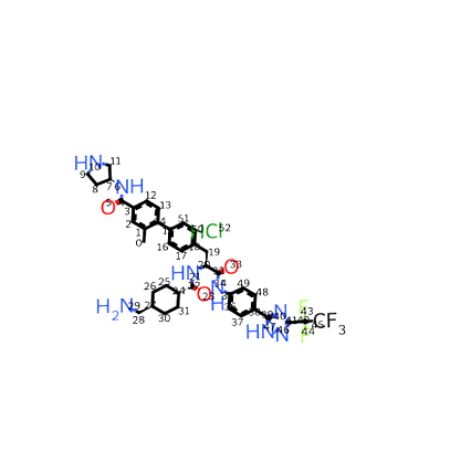 Cc1cc(C(=O)N[C@@H]2CCNC2)ccc1-c1ccc(C[C@H](NC(=O)[C@H]2CC[C@H](CN)CC2)C(=O)Nc2ccc(-c3nc(C(F)(F)C(F)(F)F)n[nH]3)cc2)cc1.Cl